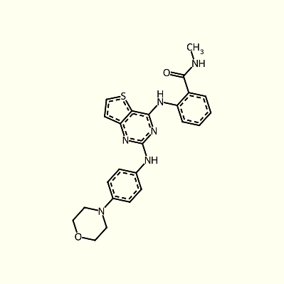 CNC(=O)c1ccccc1Nc1nc(Nc2ccc(N3CCOCC3)cc2)nc2ccsc12